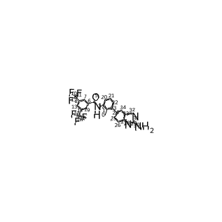 Cc1c(NC(=O)c2cc(C(F)(F)F)cc(C(F)(F)F)c2)cccc1-c1ccc2nc(N)ncc2c1